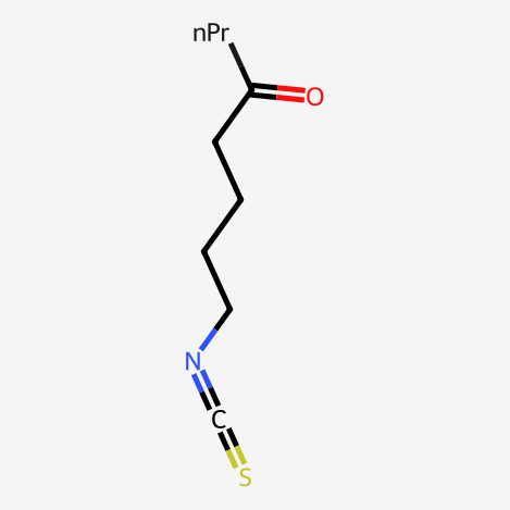 CCCC(=O)CCCCN=C=S